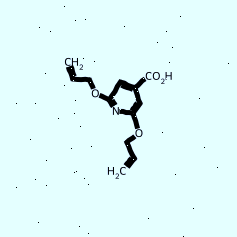 C=CCOc1cc(C(=O)O)cc(OCC=C)n1